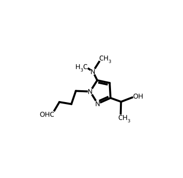 CC(O)c1cc(N(C)C)n(CCCC=O)n1